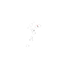 CCCCc1nc2c(C)c(C3=NN(C(=O)OCc4ccccc4)C(=O)CC3C)ccc2n1-c1ccccc1-c1ccccc1C(=O)OCc1ccccc1